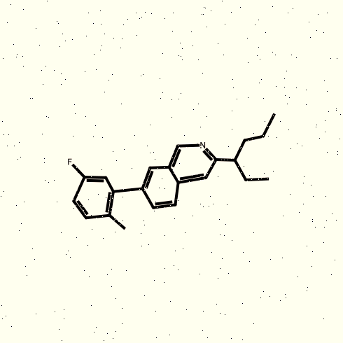 CCCC(CC)c1cc2ccc(-c3cc(F)ccc3C)cc2cn1